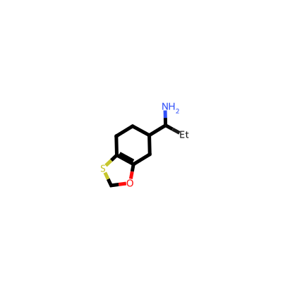 CCC(N)C1CCC2=C(C1)OCS2